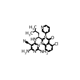 CC(C)C[C@H](Nc1nc(N)nc(N)c1C#N)c1nc2cccc(Cl)c2c(=O)n1-c1cccnc1